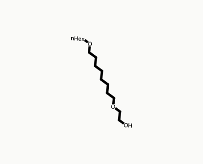 CCCCCCOCCCCCCC[CH]OCCO